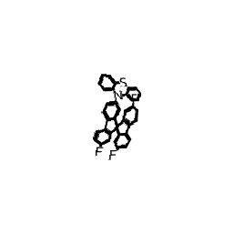 Fc1ccc2c(c1)C1(c3cc(F)ccc3-2)c2cc(F)ccc2-c2ccc(N3c4ccccc4Sc4ccccc43)cc21